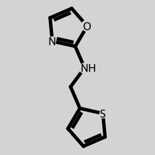 c1csc(CNc2ncco2)c1